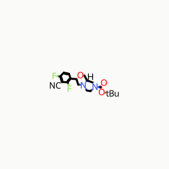 CC(C)(C)OC(=O)N1CCN2CC(c3ccc(F)c(C#N)c3F)OC[C@@H]2C1